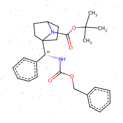 CC(C)(C)OC(=O)N1C2CCC1([C@H](NC(=O)OCc1ccccc1)c1ccccc1)CC2